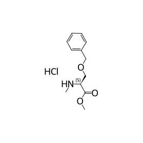 CN[C@@H](COCc1ccccc1)C(=O)OC.Cl